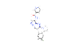 O=C(Nc1cnn2ccc(N3CCCC3c3cccc(F)c3)nc12)c1cccnc1